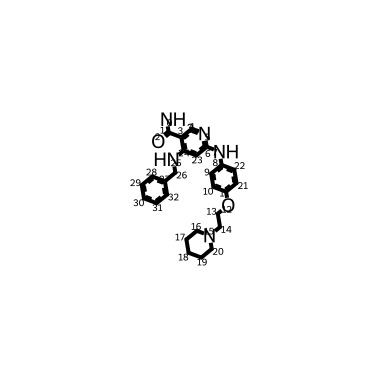 NC(=O)c1cnc(Nc2ccc(OCCN3CCCCC3)cc2)cc1NCc1ccccc1